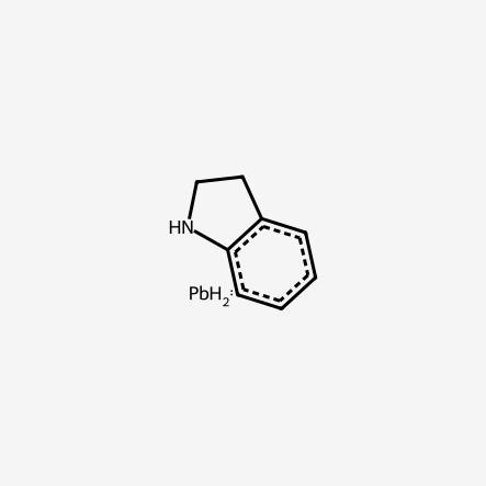 [PbH2].c1ccc2c(c1)CCN2